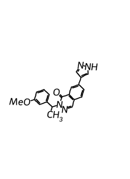 COc1cccc(C(C)n2ncc3ccc(-c4cn[nH]c4)cc3c2=O)c1